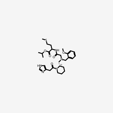 COc1ccccc1CN(CC(=O)NC(CCSC)C(=O)OC(C)C)C[C@@H]1CCCCN1C(=O)Cc1c[nH]cn1